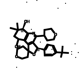 CC(C)(C)c1ccc([C@H]2OC3(CCOCC3)c3c4c(nc(C5CCOCC5)c32)[C@H](O)C(C)(C)CC4O)cc1